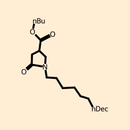 CCCCCCCCCCCCCCCCN1CC(C(=O)OCCCC)CC1=O